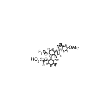 COc1ccc2c(-c3c(C)n(Cc4cc(O[C@@H](C)C(=O)O)ccc4F)c4cc(OC(F)(F)F)ccc34)noc2c1